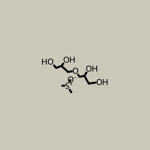 C[S+](C)[O-].OCC(O)COCC(O)CO